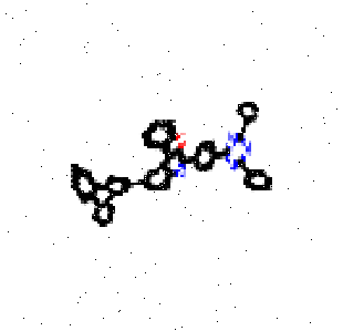 c1ccc(-c2nc(-c3ccccc3)nc(-c3ccc(-c4nc5ccc(-c6ccc7c8ccccc8c8ccccc8c7c6)cc5c5c4oc4ccccc45)cc3)n2)cc1